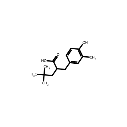 Cc1cc(CC(CC(C)(C)C)C(=O)O)ccc1O